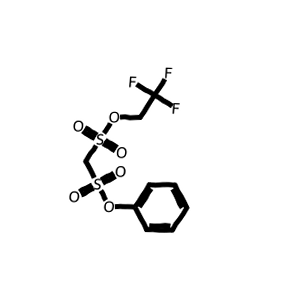 O=S(=O)(CS(=O)(=O)Oc1ccccc1)OCC(F)(F)F